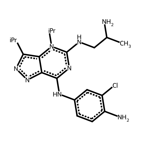 CC(N)CNc1nc(Nc2ccc(N)c(Cl)c2)c2nnc(C(C)C)c-2n1C(C)C